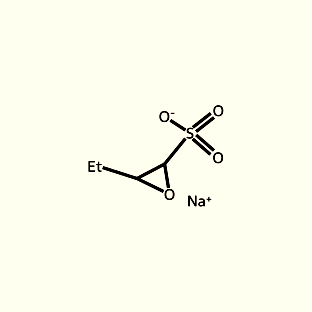 CCC1OC1S(=O)(=O)[O-].[Na+]